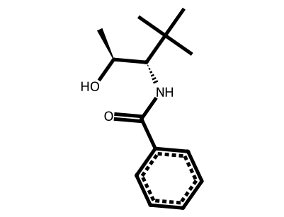 C[C@H](O)[C@@H](NC(=O)c1ccccc1)C(C)(C)C